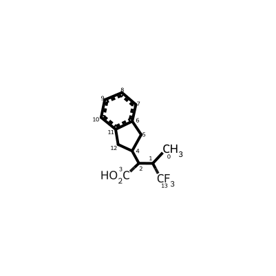 CC(C(C(=O)O)C1Cc2ccccc2C1)C(F)(F)F